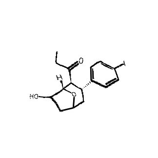 CCC(=O)[C@@H]1[C@@H]2OC(CC2O)C[C@H]1c1ccc(I)cc1